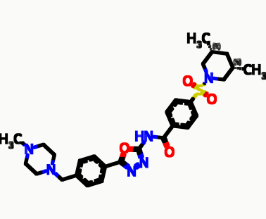 C[C@@H]1C[C@H](C)CN(S(=O)(=O)c2ccc(C(=O)Nc3nnc(-c4ccc(CN5CCN(C)CC5)cc4)o3)cc2)C1